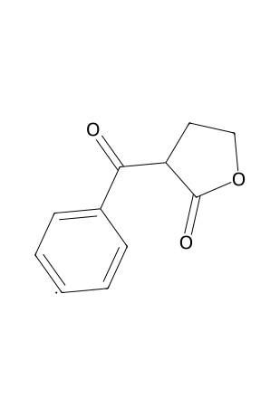 O=C1OCCC1C(=O)c1cc[c]cc1